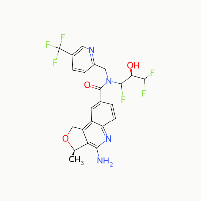 C[C@H]1OCc2c1c(N)nc1ccc(C(=O)N(Cc3ccc(C(F)(F)F)cn3)C(F)[C@@H](O)C(F)F)cc21